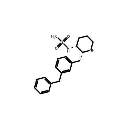 CS(=O)(=O)N[C@@H]1CCCN[C@@H]1Cc1cccc(Cc2ccccc2)c1